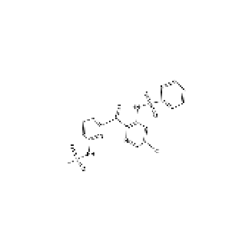 CS(=O)(=O)Nc1cccc(C(=O)c2ncc(Cl)cc2NS(=O)(=O)c2ccccc2)n1